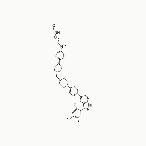 CCc1cc(F)c(-c2n[nH]c3ncc(-c4ccc(C5CCN(CC6CCN(c7ccc(N(C)CCONC=O)cc7)CC6)CC5)cc4)cc23)cc1C